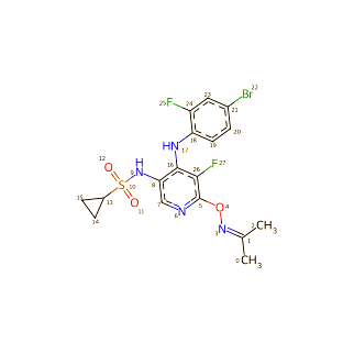 CC(C)=NOc1ncc(NS(=O)(=O)C2CC2)c(Nc2ccc(Br)cc2F)c1F